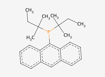 CCC(C)(C)P(c1c2ccccc2cc2ccccc12)C(C)(C)CC